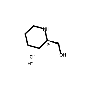 OC[C@H]1CCCCN1.[Cl-].[H+]